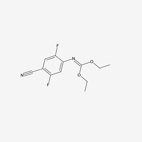 CCOC(=Nc1cc(F)c(C#N)cc1F)OCC